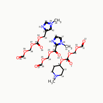 CN1CCC(OC(=O)OCO[C]=O)CC1.Cn1ccnc1C(=O)OCO[C]=O.Cn1cnc(COC(=O)OCO[C]=O)c1